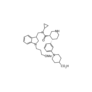 COCCCN1CC(CN(C(=O)[C@H]2CNCC[C@@H]2c2cccc(N3CCC(C(=O)O)CC3)c2)C2CC2)c2ccccc21